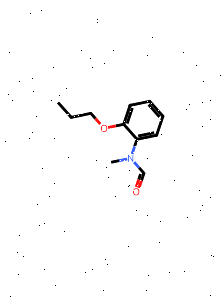 CCCOc1ccccc1N(C)C=O